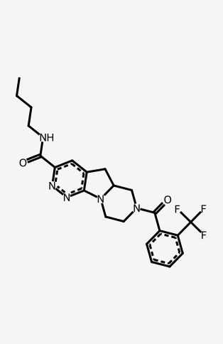 CCCCNC(=O)c1cc2c(nn1)N1CCN(C(=O)c3ccccc3C(F)(F)F)CC1C2